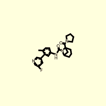 Cc1ccc(NC(=O)N2C3CCCC2(C(=O)N2CCCC2)C3)cc1-c1cncc(F)c1